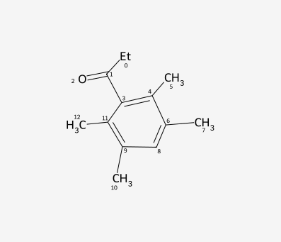 CCC(=O)c1c(C)c(C)cc(C)c1C